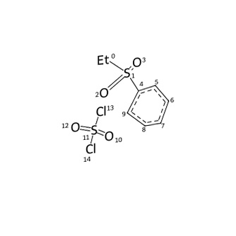 CCS(=O)(=O)c1ccccc1.O=S(=O)(Cl)Cl